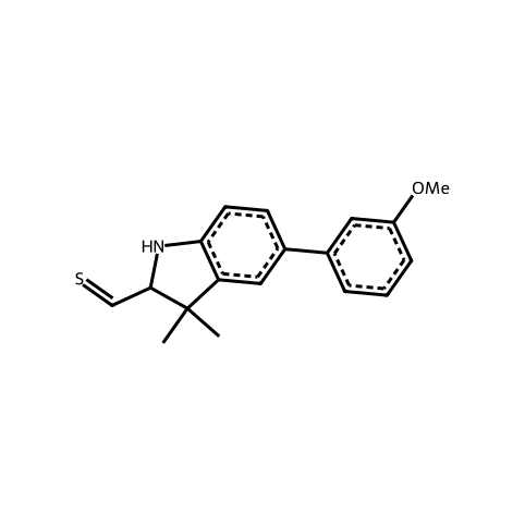 COc1cccc(-c2ccc3c(c2)C(C)(C)C(C=S)N3)c1